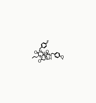 CCC[C@H]1C(=O)N(Cc2ccc(F)cc2)C[C@H]2N1C(=O)CN(C)N2C(=O)NCc1ccc(OC)cc1